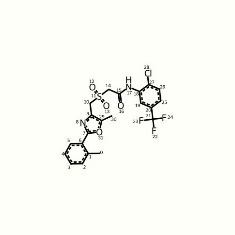 Cc1ccccc1-c1nc(CS(=O)(=O)CC(=O)Nc2cc(C(F)(F)F)ccc2Cl)c(C)o1